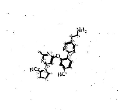 Cc1nc(Oc2cc(C#N)ccc2-c2ncc(CCN)cn2)cc(N2CCC[C@H]2C#N)n1